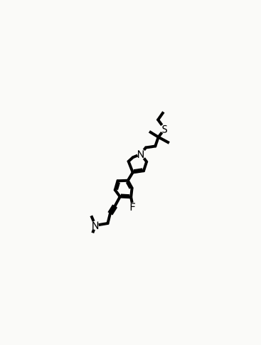 CCSC(C)(C)CCN1CC=C(c2ccc(C#CCN(C)C)c(F)c2)CC1